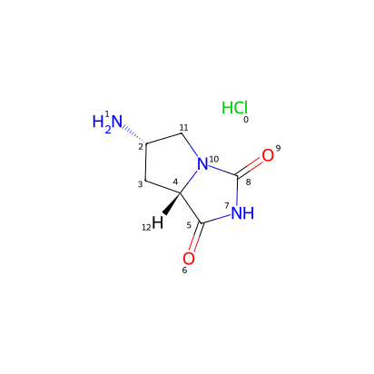 Cl.N[C@H]1C[C@H]2C(=O)NC(=O)N2C1